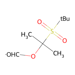 CC(C)(C)S(=O)(=O)C(C)(C)O[C]=O